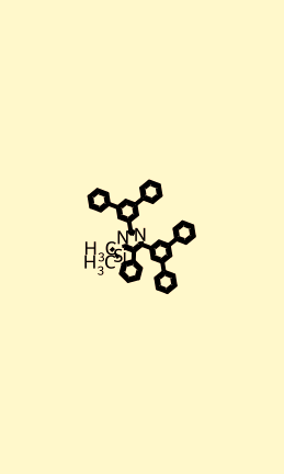 C[Si]1(C)c2ccccc2-c2c(-c3cc(-c4ccccc4)cc(-c4ccccc4)c3)nc(-c3cc(-c4ccccc4)cc(-c4ccccc4)c3)nc21